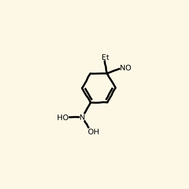 CCC1(N=O)C=CC(N(O)O)=CC1